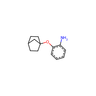 Nc1ccccc1OC12CCC(CC1)C2